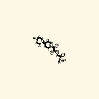 CN1CCN(C2CCN(C(=O)C(=O)OCC(=O)N(C)C)CC2)CC1